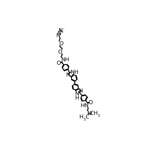 CN(C)CCNC(=O)c1ccc(-c2nc3cc(-c4ccc5[nH]c(-c6ccc(C(=O)NCCOCCOCCN=[N+]=[N-])cc6)nc5c4)ccc3[nH]2)cc1